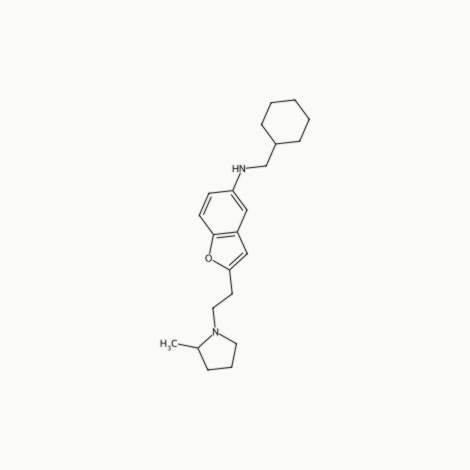 CC1CCCN1CCc1cc2cc(NCC3CCCCC3)ccc2o1